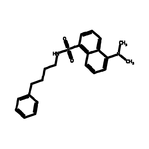 CN(C)c1cccc2c(S(=O)(=O)NCCCCc3ccccc3)cccc12